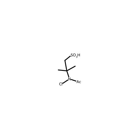 CC(=O)N(Cl)C(C)(C)CS(=O)(=O)O